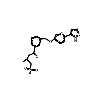 CC(CC(=O)c1cccc(COc2ccc(-c3ccn[nH]3)nc2)c1)CS(C)(=O)=O